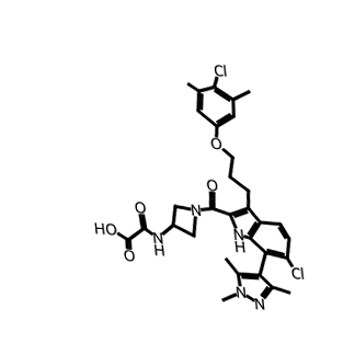 Cc1cc(OCCCc2c(C(=O)N3CC(NC(=O)C(=O)O)C3)[nH]c3c(-c4c(C)nn(C)c4C)c(Cl)ccc23)cc(C)c1Cl